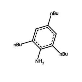 CCCCc1cc(CCCC)c(N)c(CCCC)c1